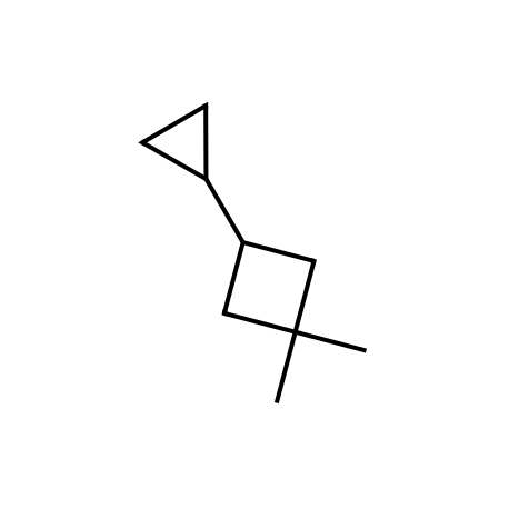 CC1(C)CC(C2CC2)C1